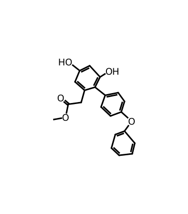 COC(=O)Cc1cc(O)cc(O)c1-c1ccc(Oc2ccccc2)cc1